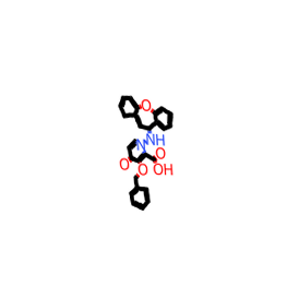 O=C(O)c1c(OCc2ccccc2)c(=O)ccn1NC1C=C2CC=CC=C2Oc2ccccc21